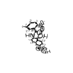 Cc1ccc([N+](=O)[O-])c(C(=O)Nc2ccc3cc(S(=O)(=O)O)ccc3c2O)c1